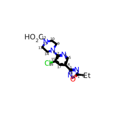 CCc1nc(-c2cnc(N3CCN(C(=O)O)CC3)c(Cl)c2)no1